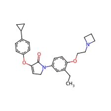 CCc1cc(N2CC=C(Oc3ccc(C4CC4)cc3)C2=O)ccc1OCCN1CCC1